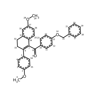 COc1ccc(C2=C(C(=O)c3ccc(OCc4ccccc4)cc3)c3ccc(OC)cc3CC2)cc1